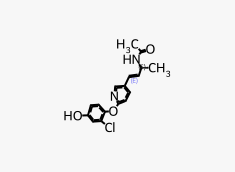 CC(=O)N[C@@H](C)/C=C/c1ccc(Oc2ccc(O)cc2Cl)nc1